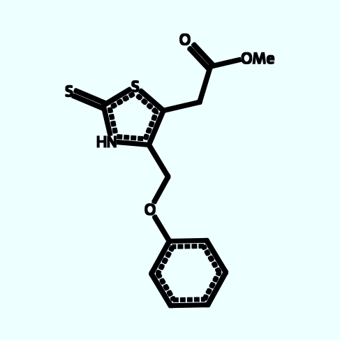 COC(=O)Cc1sc(=S)[nH]c1COc1ccccc1